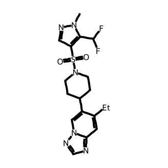 CCc1cc2ncnn2cc1C1CCN(S(=O)(=O)c2cnn(C)c2C(F)F)CC1